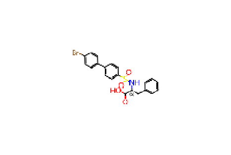 O=C(O)[C@H](Cc1ccccc1)NS(=O)(=O)c1ccc(-c2ccc(Br)cc2)cc1